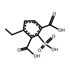 CCc1ccc(C(=O)O)c(S(=O)(=O)O)c1C(=O)O